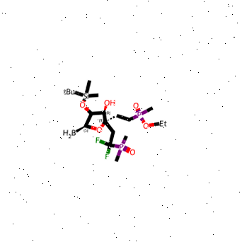 B[C@@H]1O[C@](CCP(C)(=O)OCC)(CC(F)(F)P(C)(C)=O)[C@H](O)C1O[Si](C)(C)C(C)(C)C